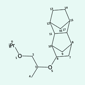 CC(C)OCC(C)OC1CC2CC1C1C3CCC(C3)C21